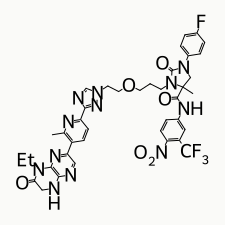 CCN1C(=O)CNc2ncc(-c3ccc(-c4ncn(CCOCCCN5C(=O)N(c6ccc(F)cc6)CC5(C)C(=O)Nc5ccc([N+](=O)[O-])c(C(F)(F)F)c5)n4)nc3C)nc21